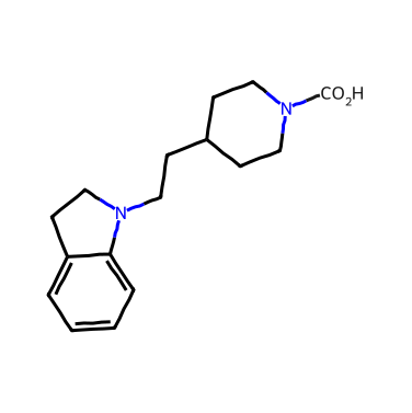 O=C(O)N1CCC(CCN2CCc3ccccc32)CC1